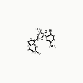 CCc1ccc([N+](=O)[O-])cc1S(=O)(=O)N(C)N=Cc1cnc2ccc(Br)cn12